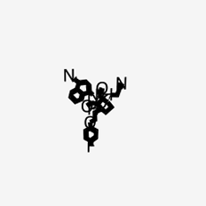 N#CCC[C@]12CCC(CCOc3ccc(F)cc3)(O1)[C@@H]1C(=O)N(c3ccc(C#N)c4ccccc34)C(=O)[C@@H]12